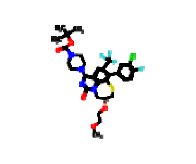 COCCO[C@H]1CSc2c(-c3ccc(F)c(Cl)c3)c(C(F)(F)F)cc3c(N4CCN(C(=O)OC(C)(C)C)CC4)nc(=O)n(c23)C1